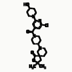 CC1(C)CC2(CCCN(C3CCN(C(=O)c4cc(Cl)nc(N5CCC(O)CC5)c4)CC3)C2)C(=O)O1